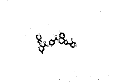 Cc1cnc(N2CC3(CCOCC3)C2)c(C(=O)Nc2ccc(C(=O)N3CCc4cc(-c5ccncc5F)sc4-c4ccc(F)cc43)cc2)c1